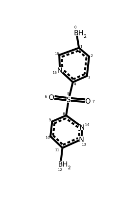 Bc1ccc(S(=O)(=O)c2ccc(B)nn2)nc1